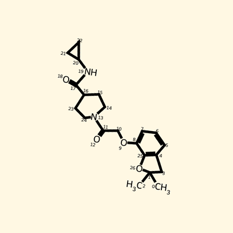 CC1(C)Cc2cccc(OCC(=O)N3CCC(C(=O)NC4CC4)CC3)c2O1